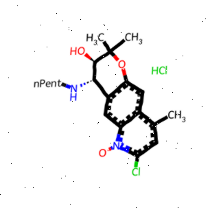 CCCCCN[C@H]1c2cc3c(cc2OC(C)(C)[C@@H]1O)c(C)cc(Cl)[n+]3[O-].Cl